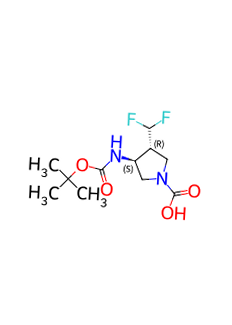 CC(C)(C)OC(=O)N[C@@H]1CN(C(=O)O)C[C@H]1C(F)F